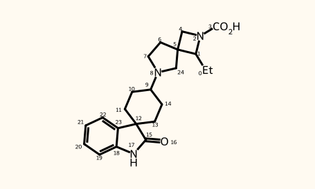 CCC1N(C(=O)O)CC12CCN(C1CCC3(CC1)C(=O)Nc1ccccc13)C2